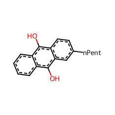 CCCCCc1ccc2c(O)c3ccccc3c(O)c2c1